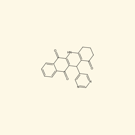 O=C1CCCC2=C1C(c1cncnc1)C1=C(N2)C(=O)c2ccccc2C1=O